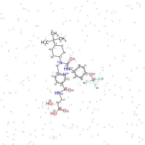 CC(C)(C)C1CCC(N(Cc2ccc(C(=O)NC[C@@H](O)C(=O)O)cn2)C(=O)Nc2ccc(OC(F)(F)F)cc2)CC1